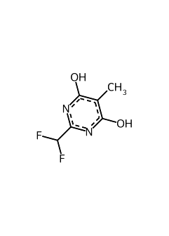 Cc1c(O)nc(C(F)F)nc1O